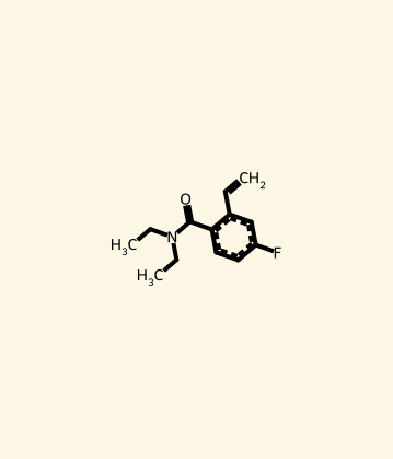 C=Cc1cc(F)ccc1C(=O)N(CC)CC